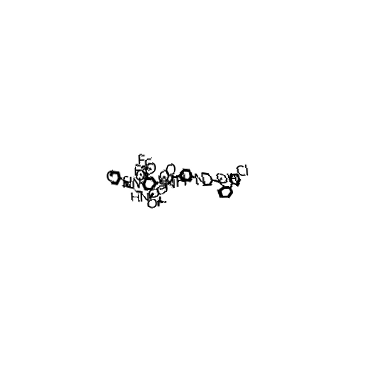 CC(C)(C)OC(=O)NCC[C@H](CSc1ccccc1)Nc1ccc(S(=O)(=O)NC(=O)c2ccc(N3CCC([C@@H](O)c4ccccc4-c4ccc(Cl)cc4)CC3)cc2)cc1S(=O)(=O)C(F)(F)F